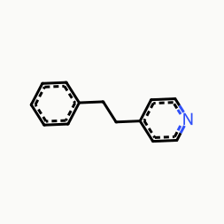 c1ccc(CCc2ccncc2)cc1